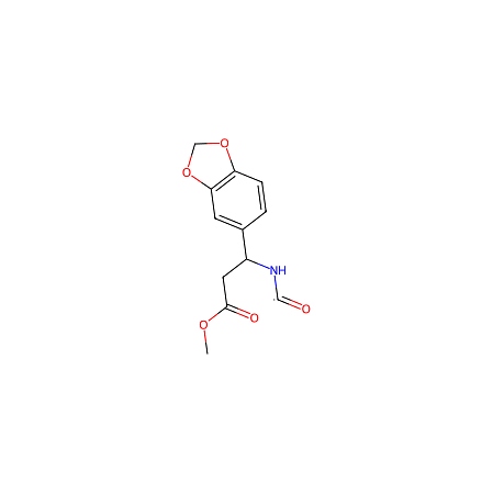 COC(=O)CC(N[C]=O)c1ccc2c(c1)OCO2